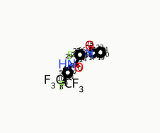 O=C(Nc1ccc(C(F)(C(F)(F)F)C(F)(F)F)cc1)c1cc(N2Cc3ccccc3C2=O)ccc1F